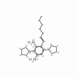 CCCCCC=Cc1c(C2CCCC2)cc(N)c(C2CCCC2)c1N